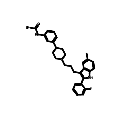 Cc1ccc2[nH]c(-c3ccccc3F)c(CCCN3CCC(c4cccc(NC(=O)C(C)C)c4)CC3)c2c1